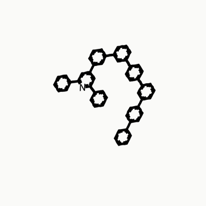 c1ccc(-c2ccc(-c3cccc(-c4ccc(-c5cccc(-c6cccc(-c7cc(-c8ccccc8)nc(-c8ccccc8)c7)c6)c5)cc4)c3)cc2)cc1